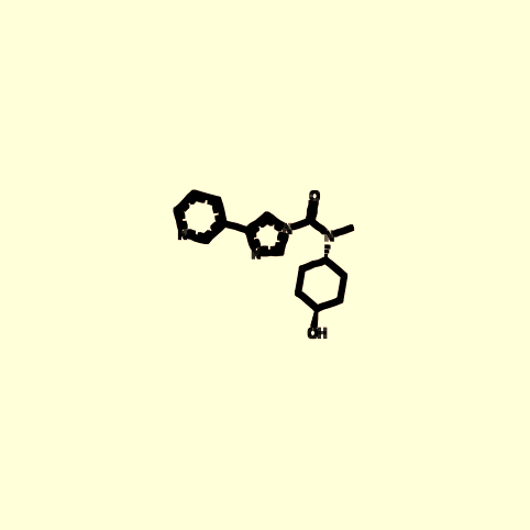 CN(C(=O)n1cnc(-c2cccnc2)c1)[C@H]1CC[C@H](O)CC1